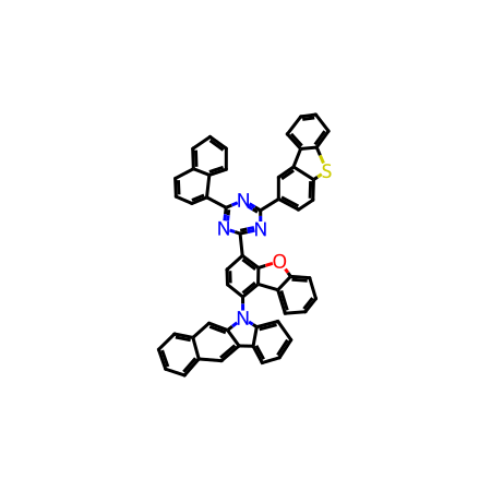 c1ccc2cc3c(cc2c1)c1ccccc1n3-c1ccc(-c2nc(-c3ccc4sc5ccccc5c4c3)nc(-c3cccc4ccccc34)n2)c2oc3ccccc3c12